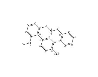 COc1cccc(CNCc2ccccc2)c1-c1ccc(Cl)cc1